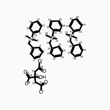 C[N+](C)(Cc1ccccc1)c1ccccc1.C[N+](C)(Cc1ccccc1)c1ccccc1.C[N+](C)(Cc1ccccc1)c1ccccc1.O=C([O-])CC(O)(CC(=O)[O-])C(=O)[O-]